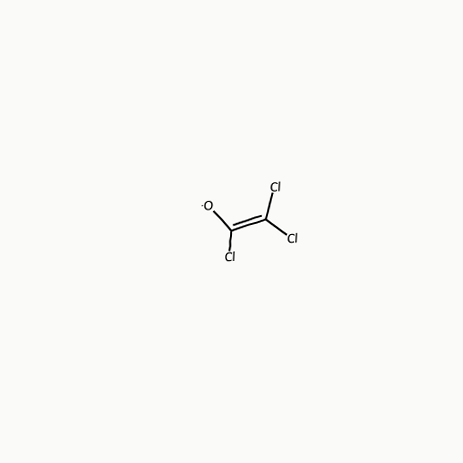 [O]C(Cl)=C(Cl)Cl